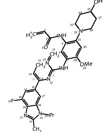 C=CC(=O)Nc1cc(N/C(N=C)=N/C(=C\C)c2cc(F)c3nc(C)n(C(C)C)c3c2)c(OC)cc1N1CCC(O)CC1